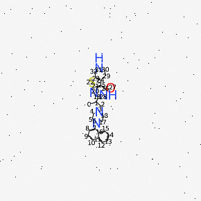 CC(CN1CCN(c2cccc3ccccc23)CC1)c1nc2sc3c(c2c(=O)[nH]1)CCNC3